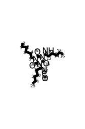 CCCCCCn1c(=O)n(C(N)CCCCC)c(=O)n(C(CCCCC)N=C=O)c1=O